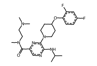 CC(C)Nc1ncc(C(=O)N(C)CCN(C)C)nc1N1CCC(Oc2ccc(F)cc2F)CC1